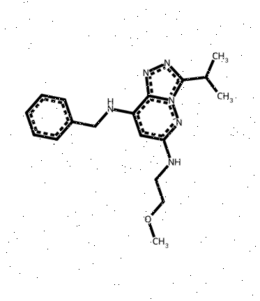 COCCNc1cc(NCc2ccccc2)c2nnc(C(C)C)n2n1